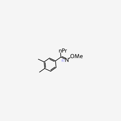 CCC/C(=N\OC)c1ccc(C)c(C)c1